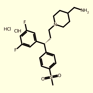 CS(=O)(=O)c1ccc([C@@H](CCN2CCC(CN)CC2)c2cc(F)cc(F)c2)cc1.Cl.Cl